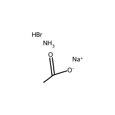 Br.CC(=O)[O-].N.[Na+]